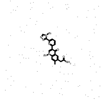 Cc1cc2c(cc1CC(N)=O)c(=O)c(-c1cccc(-c3nncn3C(C)C)n1)cn2C(C)C